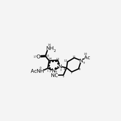 CC(=O)Nc1nn(C2(CC#N)CCN(C(C)=O)CC2)cc1C(N)=O